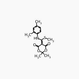 CSC(Nc1ccc(C)cc1C)=C1C(=O)OC(C)(C)OC1=O